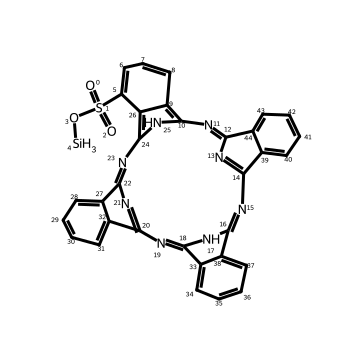 O=S(=O)(O[SiH3])c1cccc2c3nc4nc(nc5[nH]c(nc6nc(nc([nH]3)c12)-c1ccccc1-6)c1ccccc51)-c1ccccc1-4